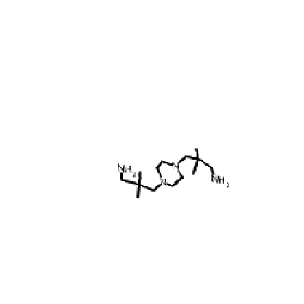 CC(C)(CN)CN1CCN(CC(C)(C)CN)CC1